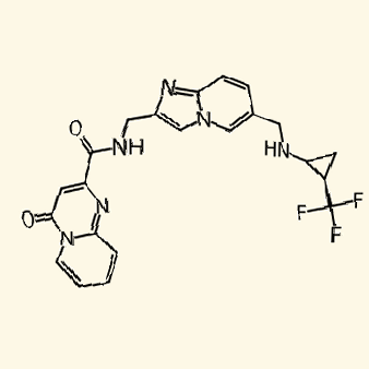 O=C(NCc1cn2cc(CNC3C[C@H]3C(F)(F)F)ccc2n1)c1cc(=O)n2ccccc2n1